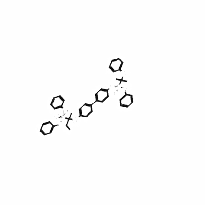 CCC(C)(Oc1ccc(-c2ccc(OP(=O)(Oc3ccccc3)C(C)(C)Oc3ccccc3)cc2)cc1)P(=O)(Oc1ccccc1)Oc1ccccc1